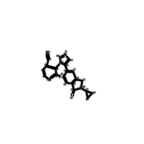 N#Cc1ccnc(F)c1-n1nncc1-c1ccc2c(c1)CN(C1CC1)C2=O